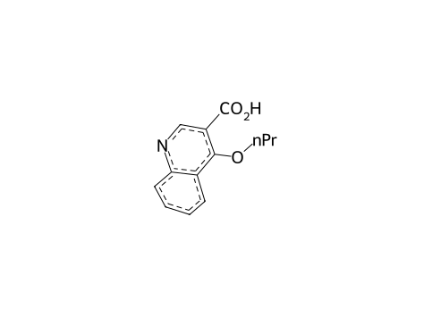 CCCOc1c(C(=O)O)cnc2ccccc12